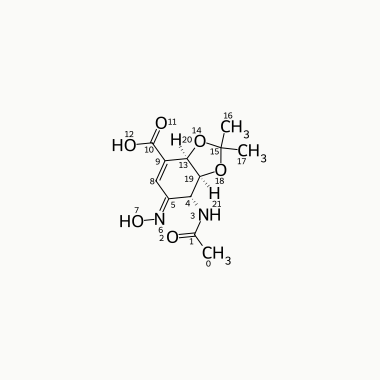 CC(=O)N[C@@H]1/C(=N/O)C=C(C(=O)O)[C@H]2OC(C)(C)O[C@H]21